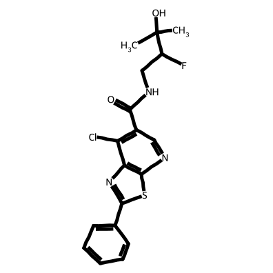 CC(C)(O)C(F)CNC(=O)c1cnc2sc(-c3ccccc3)nc2c1Cl